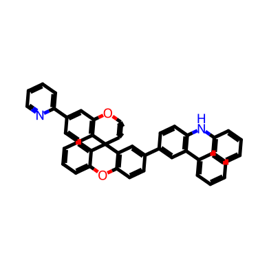 c1ccc(Nc2ccc(-c3ccc4c(c3)C3(c5ccccc5Oc5cc(-c6ccccn6)ccc53)c3ccccc3O4)cc2-c2ccccc2)cc1